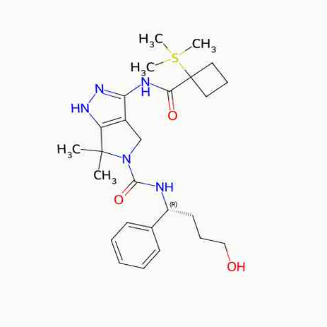 CC1(C)c2[nH]nc(NC(=O)C3(S(C)(C)C)CCC3)c2CN1C(=O)N[C@H](CCCO)c1ccccc1